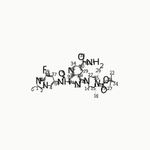 Cc1cn2cc(NC(=O)c3cnc(N4C[C@@H](C)N(C(=O)OC(C)(C)C)[C@@H](C)C4)c4cc(C(N)=O)cnc34)cc(F)c2n1